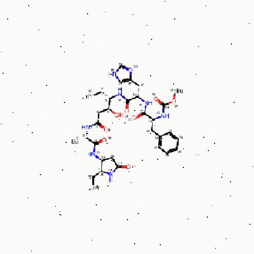 CC[C@H](C)[C@H](NC(=O)C[C@H](O)[C@H](CC(C)C)NC(=O)[C@H](Cc1c[nH]cn1)NC(=O)[C@H](Cc1ccccc1)NC(=O)OC(C)(C)C)C(=O)N[C@H]1CC(=O)N[C@H]1CC(C)C